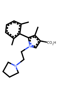 Cc1cccc(C)c1-c1c(C)c(C(=O)O)cn1CCN1CCCC1